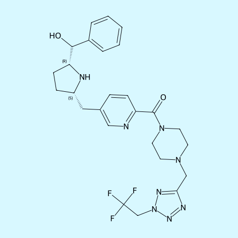 O=C(c1ccc(C[C@@H]2CC[C@H](C(O)c3ccccc3)N2)cn1)N1CCN(Cc2nnn(CC(F)(F)F)n2)CC1